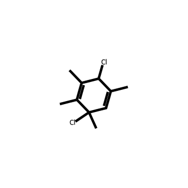 CC1=CC(C)(Cl)C(C)=C(C)C1Cl